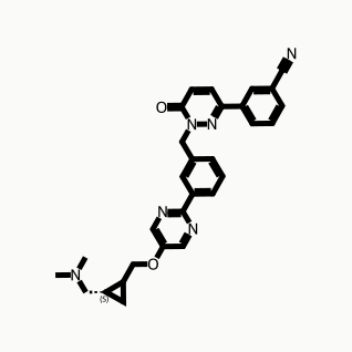 CN(C)C[C@H]1CC1COc1cnc(-c2cccc(Cn3nc(-c4cccc(C#N)c4)ccc3=O)c2)nc1